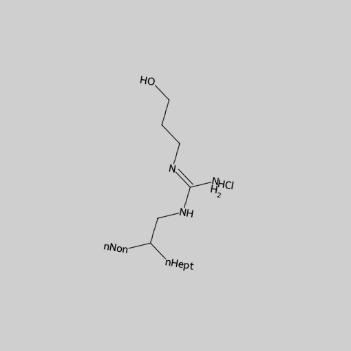 CCCCCCCCCC(CCCCCCC)CNC(N)=NCCCO.Cl